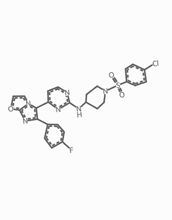 O=S(=O)(c1ccc(Cl)cc1)N1CCC(Nc2nccc(-c3c(-c4ccc(F)cc4)nc4occn34)n2)CC1